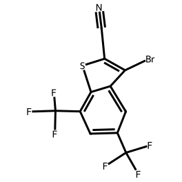 N#Cc1sc2c(C(F)(F)F)cc(C(F)(F)F)cc2c1Br